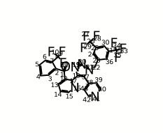 O=C(c1ccccc1C(F)(F)F)c1cccnc1-c1nnn(Cc2cc(C(F)(F)F)cc(C(F)(F)F)c2)c1-c1ccncc1